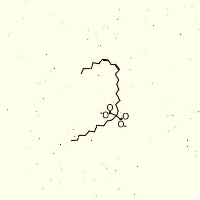 CCCCC/C=C\C/C=C\CCCCCCCCC(CCCCCCCCCC)(C(=O)OC)C(=O)OC